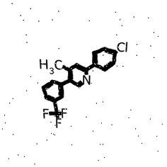 Cc1cc(-c2ccc(Cl)cc2)ncc1-c1cccc(C(F)(F)F)c1